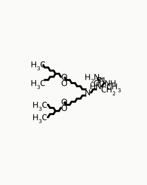 C=C(NCCCN(CCCCCCCC(=O)OCCC(CCCC)CCCC)CCCCCCCC(=O)OCCC(CCCCC)CCCCC)/C(=N\[S+](N)[O-])NC